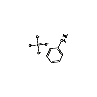 Cc1ccccc1.[Ag+].[O-][Cl+3]([O-])([O-])[O-]